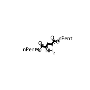 CCCCCOC(=O)CC[C@H](N)C(=O)OCCCCC